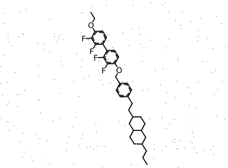 CCCC1CCC2CC(CCc3ccc(COc4ccc(-c5ccc(OCC)c(F)c5F)c(F)c4F)cc3)CCC2C1